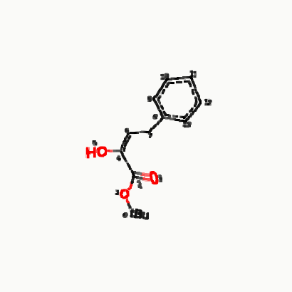 CC(C)(C)OC(=O)/C(O)=C\Cc1ccccc1